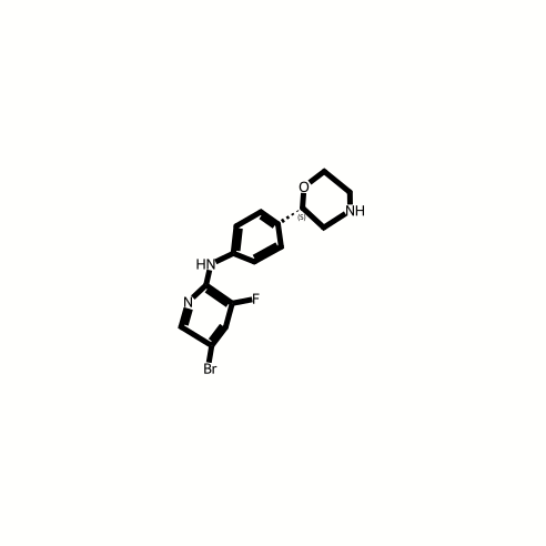 Fc1cc(Br)cnc1Nc1ccc([C@H]2CNCCO2)cc1